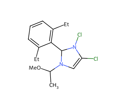 CCc1cccc(CC)c1C1N(Cl)C(Cl)=CN1C(C)OC